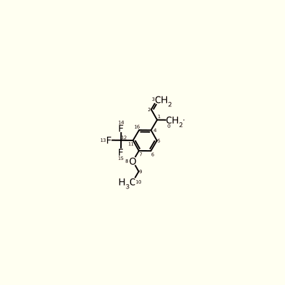 [CH2]C(C=C)c1ccc(OCC)c(C(F)(F)F)c1